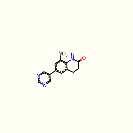 O=C1CCc2cc(-c3cncnc3)cc([N+](=O)[O-])c2N1